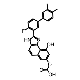 Cc1ccc(-c2ccc(F)c(-c3nc4c(ccc5cc(OC(=O)O)cc(O)c54)[nH]3)c2)cc1C